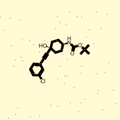 CC(C)(C)OC(=O)N[C@H]1CC[C@@](O)(C#Cc2cccc(Cl)c2)CC1